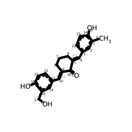 Cc1cc(/C=C2\CCC/C(=C\c3ccc(O)c(CO)c3)C2=O)ccc1O